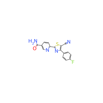 N#Cc1sc(-c2ccc(C(N)=O)cn2)nc1-c1ccc(F)cc1